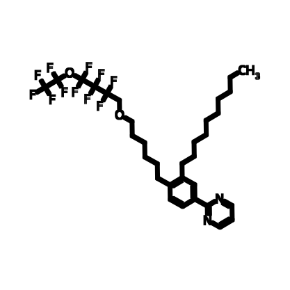 CCCCCCCCCCc1cc(-c2ncccn2)ccc1CCCCCCOCC(F)(F)C(F)(F)C(F)(F)OC(F)(F)C(F)(F)F